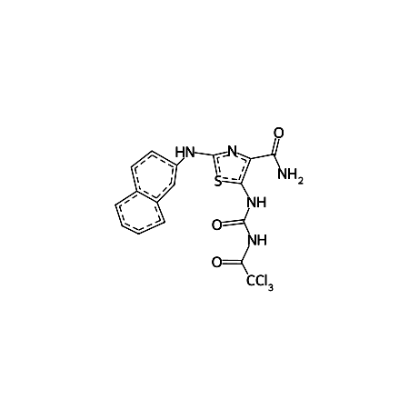 NC(=O)c1nc(Nc2ccc3ccccc3c2)sc1NC(=O)NC(=O)C(Cl)(Cl)Cl